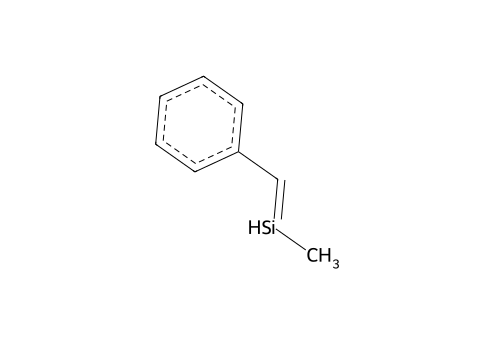 C[SiH]=Cc1ccccc1